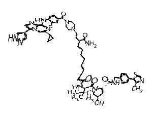 Cc1ncsc1-c1ccc(CNC(=O)[C@@H]2C[C@@H](O)CN2C(=O)[C@@H](NC(=O)CCCCCCCC(CCN2CCN(C(=O)c3ccc(Nc4nc(C5CC5)cn5c(-c6cn[nH]c6)cnc45)c(F)c3)CC2)C(N)=O)C(C)(C)C)cc1